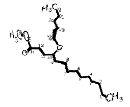 CCCCCCCCCCC(CCC(=O)OC)OCCCCC